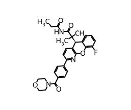 CCC(=O)NC(=O)C(C)(C)[C@@H]1c2ccc(-c3ccc(C(=O)N4CCOCC4)cc3)nc2Oc2c(F)cccc21